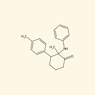 Cc1ccc(C2CCCC(=O)C2(C)Nc2ccccc2)cc1